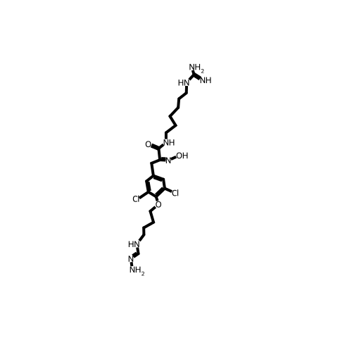 N=C(N)NCCCCCCNC(=O)C(Cc1cc(Cl)c(OCCCCNC=NN)c(Cl)c1)=NO